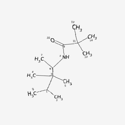 CC(C)C(C)(C)C(C)NC(=O)C(C)(C)C